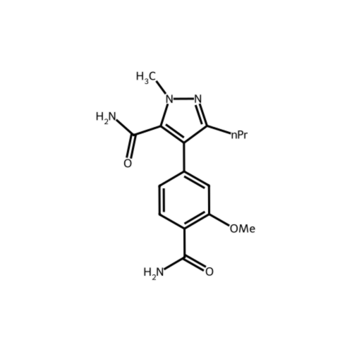 CCCc1nn(C)c(C(N)=O)c1-c1ccc(C(N)=O)c(OC)c1